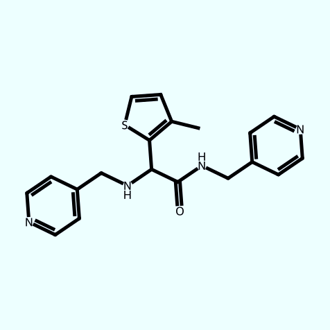 Cc1ccsc1C(NCc1ccncc1)C(=O)NCc1ccncc1